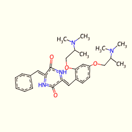 CC(COc1ccc(/C=c2\[nH]c(=O)/c(=C/c3ccccc3)[nH]c2=O)c(OCC(C)N(C)C)c1)N(C)C